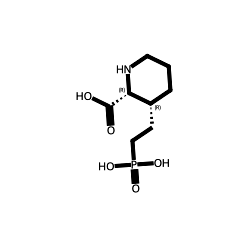 O=C(O)[C@@H]1NCCC[C@@H]1CCP(=O)(O)O